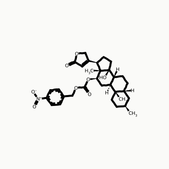 C[C@H]1CC[C@@]2(C)[C@H](CC[C@@H]3[C@@H]2C[C@@H](OC(=O)OCc2ccc([N+](=O)[O-])cc2)[C@]2(C)[C@@H](C4=CC(=O)OC4)CC[C@]32O)C1